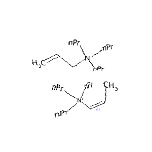 C/C=C\[N+](CCC)(CCC)CCC.C=CC[N+](CCC)(CCC)CCC